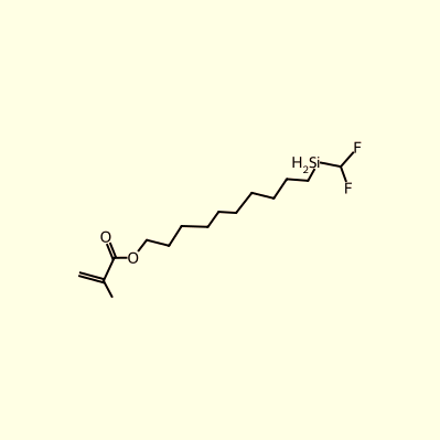 C=C(C)C(=O)OCCCCCCCCCC[SiH2]C(F)F